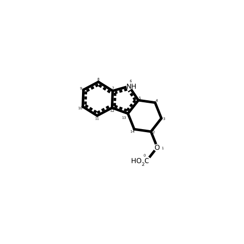 O=C(O)OC1CCc2[nH]c3ccccc3c2C1